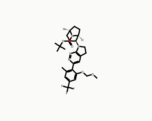 COCOc1cc(C(F)(F)F)cc(C)c1-c1cc2c(nn1)N([C@H]1CC[C@H]3CC[C@@H]1N3C(=O)OC(C)(C)C)CC2